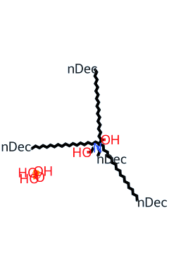 CCCCCCCCCCCCCCCCCCCCCCCCCCCCC(O)C(CCCCCCCCCCCCCCCCCCCCCCCCCCCC)(CCCCCCCCCCCCCCCCCCCCCCCCCCCC)N(CCO)CCCCCCCCCCCC.O=P(O)(O)O